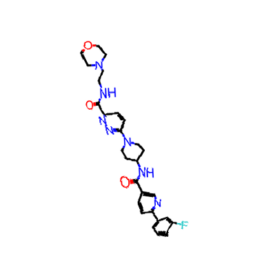 O=C(NC1CCN(c2ccc(C(=O)NCCN3CCOCC3)nn2)CC1)c1ccc(-c2cccc(F)c2)nc1